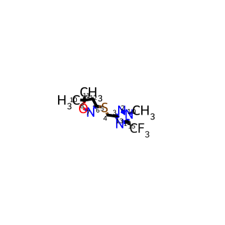 Cn1nc(CSC2=NOC(C)(C)C2)nc1C(F)(F)F